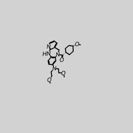 COCCN(CCOC)c1ccc2c(c1)N(C(=O)[C@H]1CC[C@@H](OC)CC1)Cc1cccnc1N2